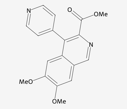 COC(=O)c1ncc2cc(OC)c(OC)cc2c1-c1ccncc1